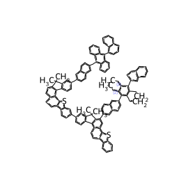 C=Cc1c(C=C)c(-c2ccc3cc(-c4cc5c(ccc6c7ccccc7sc56)c5c4C(C)(C)c4cc(-c6ccc7c(c6)sc6c7ccc7ccc8c(c76)-c6ccc(-c7ccc9cc(-c%10c%11ccccc%11c(-c%11cccc%12ccccc%11%12)c%11ccccc%10%11)ccc9c7)cc6C8(C)C)ccc4-5)ccc3c2)c(=C/C)/c(=C\C)c1-c1ccc2ccccc2c1